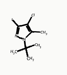 Cc1c(Cl)c(I)nn1C(C)(C)C